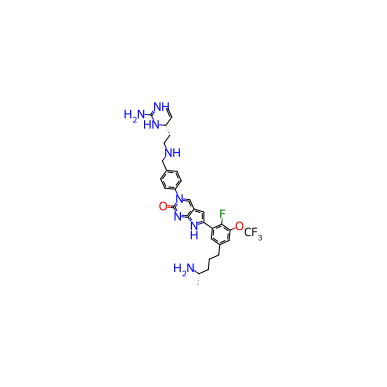 C=C[C@H](CCNCc1ccc(-n2cc3cc(-c4cc(CCC[C@H](C)N)cc(OC(F)(F)F)c4F)[nH]c3nc2=O)cc1)NC(=N)N